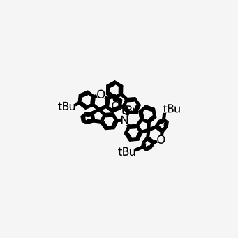 CC(C)(C)c1ccc2c(c1)C1(c3cc(C(C)(C)C)ccc3O2)c2ccccc2-c2ccc(N(c3cccc4c3-c3ccccc3C43c4cc(C(C)(C)C)ccc4Oc4ccc(C(C)(C)C)cc43)c3cccc4c3oc3ccccc34)cc21